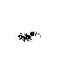 O=COC(CC1CCNCC1)c1ncnc(Oc2ccc(OC(F)(F)F)cc2)c1[N+](=O)[O-]